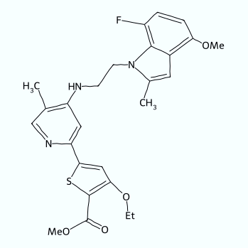 CCOc1cc(-c2cc(NCCn3c(C)cc4c(OC)ccc(F)c43)c(C)cn2)sc1C(=O)OC